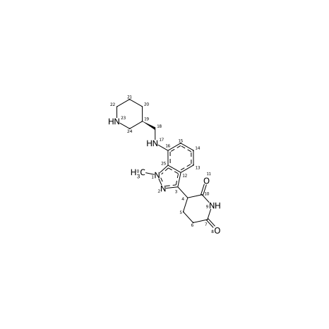 Cn1nc(C2CCC(=O)NC2=O)c2cccc(NC[C@@H]3CCCNC3)c21